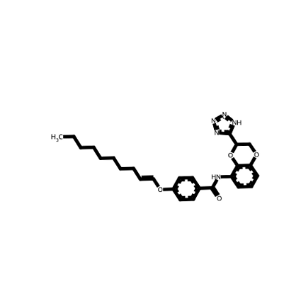 CCCCCCCCC=COc1ccc(C(=O)Nc2cccc3c2OC(c2nnn[nH]2)CO3)cc1